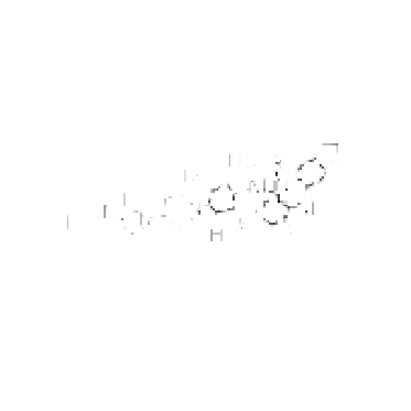 COc1cc(N2CCC(N3CCC(N(C)C)C3)CC2)c(Br)cc1Nc1ncc(Cl)c(Nc2cc3c(cc2NS(C)(=O)=O)CCO3)n1